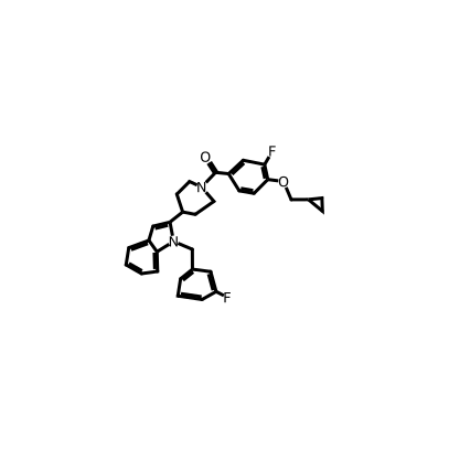 O=C(c1ccc(OCC2CC2)c(F)c1)N1CCC(c2cc3ccccc3n2Cc2cccc(F)c2)CC1